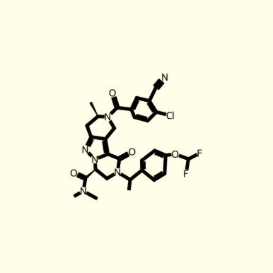 CC(c1ccc(OC(F)F)cc1)N1C[C@@H](C(=O)N(C)C)n2nc3c(c2C1=O)CN(C(=O)c1ccc(Cl)c(C#N)c1)[C@H](C)C3